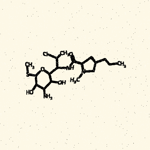 CCCC1CC(C(=O)NC(C(C)Cl)C2OC(SC)C(O)C(N)C2O)N(C)C1